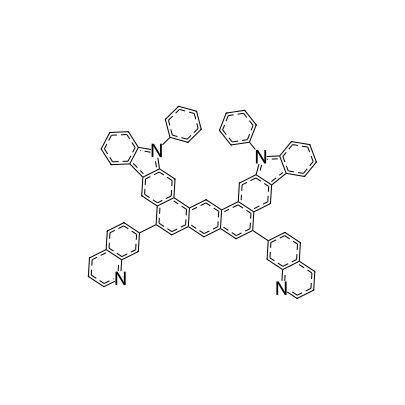 c1ccc(-n2c3ccccc3c3cc4c(-c5ccc6cccnc6c5)cc5cc6cc(-c7ccc8cccnc8c7)c7cc8c9ccccc9n(-c9ccccc9)c8cc7c6cc5c4cc32)cc1